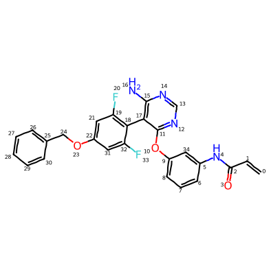 C=CC(=O)Nc1cccc(Oc2ncnc(N)c2-c2c(F)cc(OCc3ccccc3)cc2F)c1